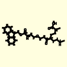 CNCCN(CCN(C)C(=O)O)C(=O)CCOCCNC(=O)OCC1c2ccccc2-c2ccccc21